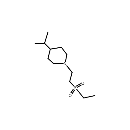 CCS(=O)(=O)CCN1CCC(C(C)C)CC1